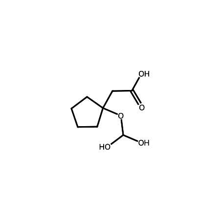 O=C(O)CC1(OC(O)O)CCCC1